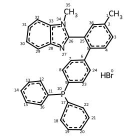 Br.Cc1ccc(-c2ccc(P(c3ccccc3)c3ccccc3)cc2)c(-c2nc3ccccc3n2C)c1